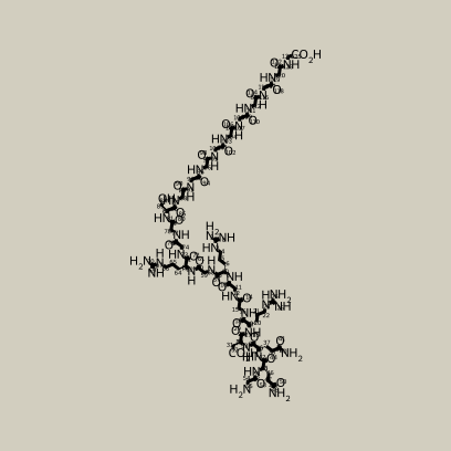 N=C(N)NCCC[C@H](NC(=O)CNC(=O)CNC(=O)[C@H](CCCNC(=N)N)NC(=O)[C@H](CC(=O)O)NC(=O)[C@H](CCC(N)=O)NC(=O)[C@H](CCC(N)=O)NC(=O)CN)C(=O)NCC(=O)N[C@@H](CCCNC(=N)N)C(=O)NCC(=O)NCC(=O)N[C@@H](CO)C(=O)NCC(=O)NCC(=O)NCC(=O)NCC(=O)NCC(=O)NCC(=O)NCC(=O)NCC(=O)NCC(=O)NCC(=O)O